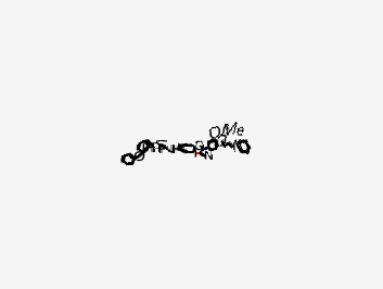 COc1cc2c(Oc3ccc(NSc4cccc(Oc5ccccc5)c4)cc3F)ccnc2cc1OCCCN1CCCCC1